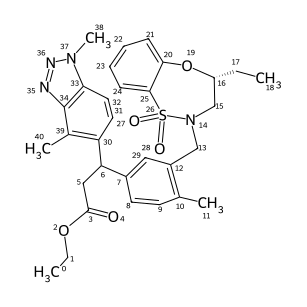 CCOC(=O)CC(c1ccc(C)c(CN2C[C@@H](CC)Oc3ccccc3S2(=O)=O)c1)c1ccc2c(nnn2C)c1C